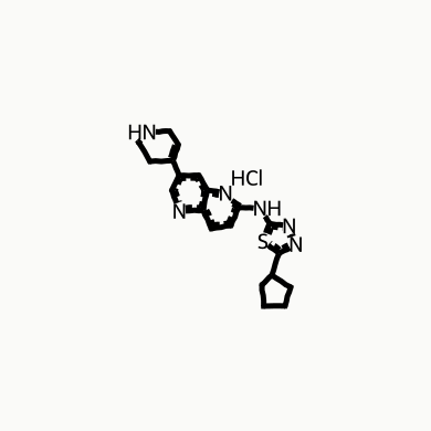 C1=C(c2cnc3ccc(Nc4nnc(C5CCCC5)s4)nc3c2)CCNC1.Cl